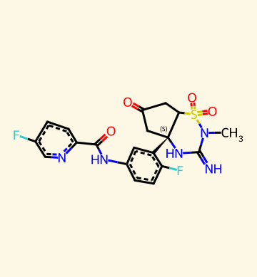 CN1C(=N)N[C@]2(c3cc(NC(=O)c4ccc(F)cn4)ccc3F)CC(=O)CC2S1(=O)=O